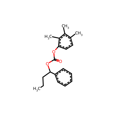 CCCC(OC(=O)Oc1ccc(C)c(C)c1C)c1ccccc1